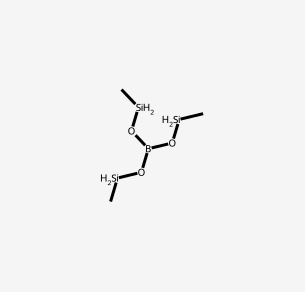 C[SiH2]OB(O[SiH2]C)O[SiH2]C